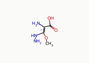 CO/C(NN)=C(/N)C(=O)O